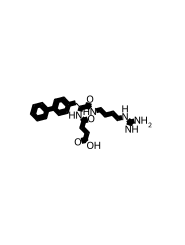 N=C(N)NCCCCNC(=O)[C@@H](Cc1ccc(-c2ccccc2)cc1)NC(=O)CCC(=O)O